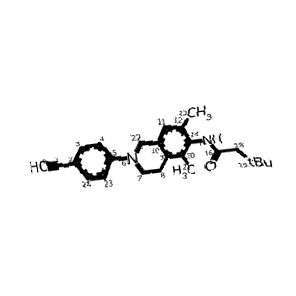 C#Cc1ccc(N2CCc3c(cc(C)c(NC(=O)CC(C)(C)C)c3C)C2)cc1